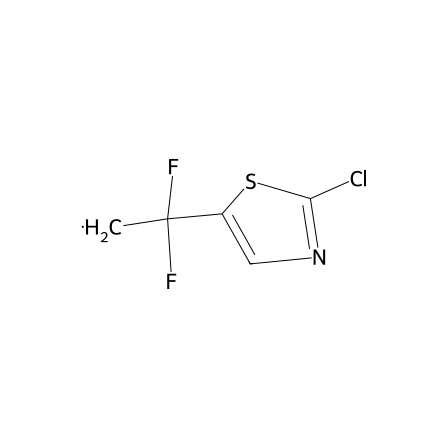 [CH2]C(F)(F)c1cnc(Cl)s1